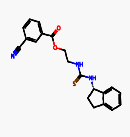 N#Cc1cccc(C(=O)OCCNC(=S)N[C@H]2CCc3ccccc32)c1